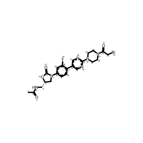 CC(=O)NC[C@H]1CN(c2ccc(-c3cnc(N4CCN(C(=O)CBr)CC4)nc3)c(F)c2)C(=O)O1